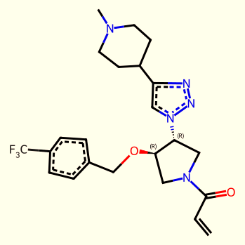 C=CC(=O)N1C[C@@H](n2cc(C3CCN(C)CC3)nn2)[C@H](OCc2ccc(C(F)(F)F)cc2)C1